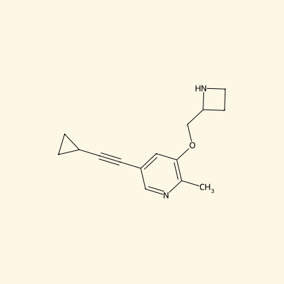 Cc1ncc(C#CC2CC2)cc1OCC1CCN1